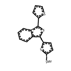 CSc1ccc(-c2sc(-c3cccs3)c3ccccc23)s1